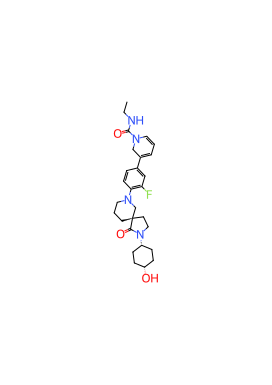 CCNC(=O)N1C=CC=C(c2ccc(N3CCC[C@]4(CCN([C@H]5CC[C@@H](O)CC5)C4=O)C3)c(F)c2)C1